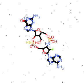 Nc1nc2c(ncn2C2OC3COP(=O)(O)NC4C(CO[P@](=O)(S)OC2C3CO)OC(n2cnc3c(N)ncnc32)C4F)c(=O)[nH]1